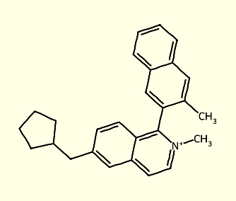 Cc1cc2ccccc2cc1-c1c2ccc(CC3CCCC3)cc2cc[n+]1C